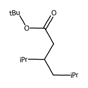 CC(C)CC(CC(=O)OC(C)(C)C)C(C)C